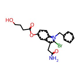 NC(=O)Cc1c(Br)n(Cc2ccccc2)c2ccc(OC(=O)CCCO)cc12